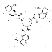 O=C(NN1CCN(NC(=O)c2ccc3cccc(O)c3n2)CCN(NC(=O)c2ccc3cccc(O)c3n2)CC1)c1ccc2cccc(O)c2n1